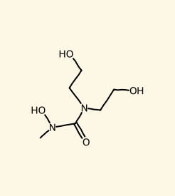 CN(O)C(=O)N(CCO)CCO